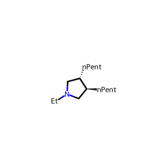 CCCCC[C@H]1CN(CC)C[C@@H]1CCCCC